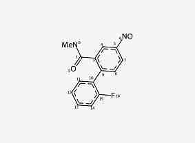 CNC(=O)c1cc(N=O)ccc1-c1ccccc1F